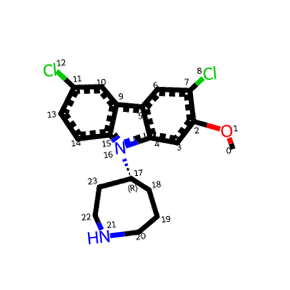 COc1cc2c(cc1Cl)c1cc(Cl)ccc1n2[C@@H]1CCCNCC1